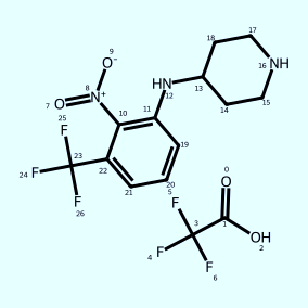 O=C(O)C(F)(F)F.O=[N+]([O-])c1c(NC2CCNCC2)cccc1C(F)(F)F